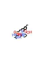 CCc1ccc2cnc(/C=C/CS(=O)(=O)NC(C(=O)N[C@@H](C)C(=O)N3CCC[C@@H](C(=O)O)N3)C(C)C)cc2c1